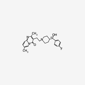 Cc1ccc2nc(C)c(CCN3CCC([C@@H](O)c4ccc(F)cc4)CC3)c(=O)n2c1